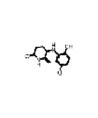 C=C1NC(=O)CCC1Nc1cc(Cl)ccc1O